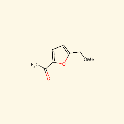 COCc1ccc(C(=O)C(F)(F)F)o1